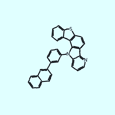 c1cc(-c2ccc3ccccc3c2)cc(-n2c3cccnc3c3ccc4sc5ccccc5c4c32)c1